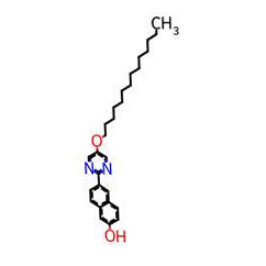 CCCCCCCCCCCCCCOc1cnc(-c2ccc3cc(O)ccc3c2)nc1